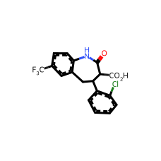 O=C(O)C1C(=O)Nc2ccc(C(F)(F)F)cc2CC1c1ccccc1Cl